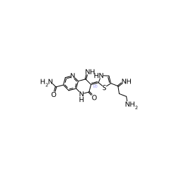 N=C(CCN)C1=CN/C(=C2\C(=N)c3ncc(C(N)=O)cc3NC2=O)S1